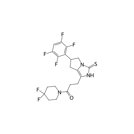 O=C(CCc1[nH]c(=S)n2c1CC(c1c(F)c(F)cc(F)c1F)C2)N1CCC(F)(F)CC1